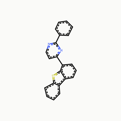 c1ccc(-c2nccc(-c3cccc4c3sc3ccccc34)n2)cc1